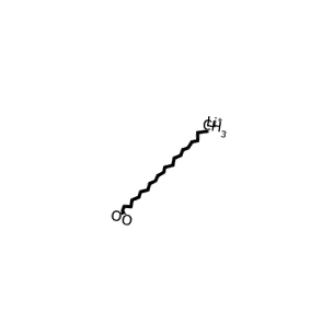 CCCCCCCCCCCCCCCCCCCCCC(=O)[O-].[Li+]